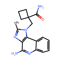 CCCc1nc2c(N)nc3ccccc3c2n1CC1(C(N)=O)CCC1